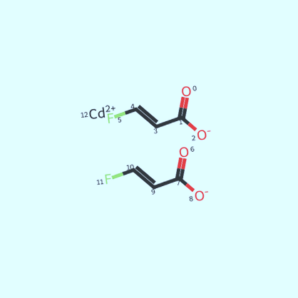 O=C([O-])/C=C/F.O=C([O-])/C=C/F.[Cd+2]